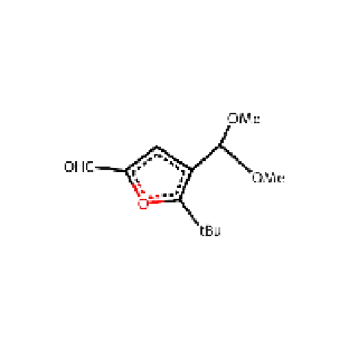 COC(OC)c1cc(C=O)oc1C(C)(C)C